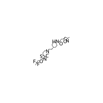 Cc1cc(CC(=O)N[C@H]2CC[C@H](CCN3CCc4nc(OCC(C)(F)F)sc4CC3)CC2)on1